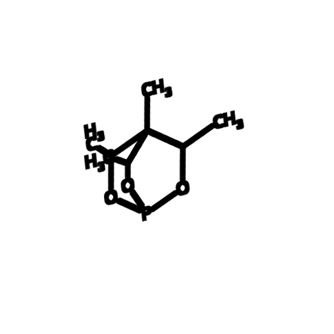 CC1OP2OC(C)C1(C)C(C)O2